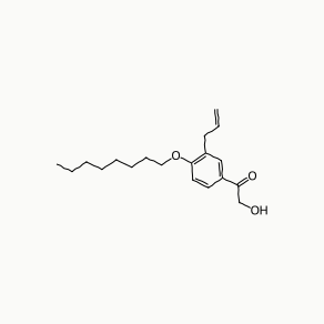 C=CCc1cc(C(=O)CO)ccc1OCCCCCCCC